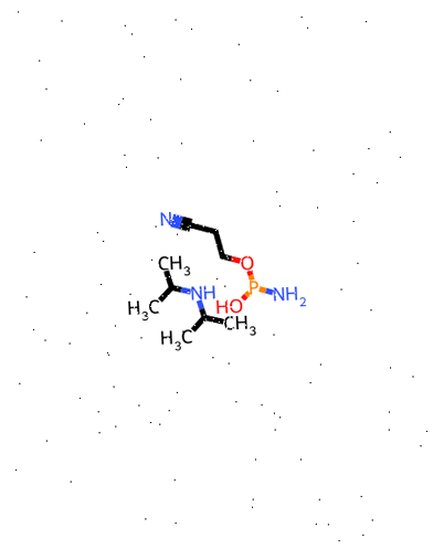 CC(C)NC(C)C.N#CCCOP(N)O